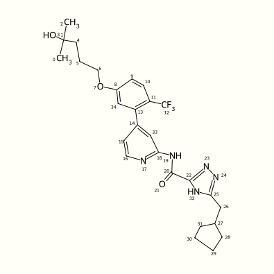 CC(C)(O)CCCOc1ccc(C(F)(F)F)c(-c2ccnc(NC(=O)c3nnc(CC4CCCC4)[nH]3)c2)c1